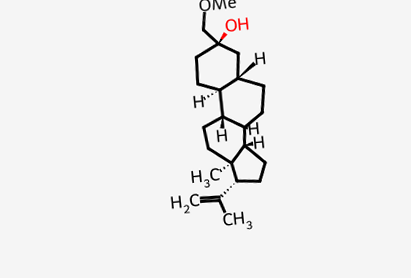 C=C(C)[C@H]1CC[C@H]2[C@@H]3CC[C@H]4C[C@@](O)(COC)CC[C@@H]4[C@H]3CC[C@]12C